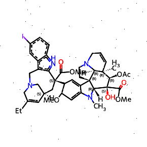 CCC1=C[C@H]2CN(C1)Cc1c([nH]c3ccc(I)cc13)[C@@](C(=O)OC)(C1C=C3C(=CC1OC)N(C)[C@H]1[C@@](O)(C(=O)OC)[C@H](OC(C)=O)[C@]4(C)C=CCN5CC[C@]31[C@@H]54)C2